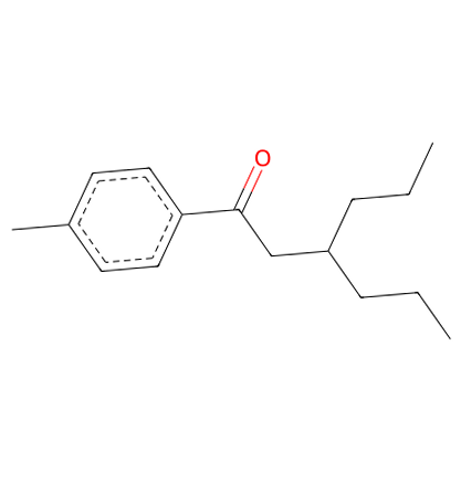 CCCC(CCC)CC(=O)c1ccc(C)cc1